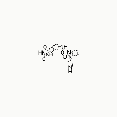 O=C(Cn1c(=O)n(C2CCNCC2)c2ccccc21)Nc1ccc2c(c1)CC1(C2)NC(=O)NC1=O